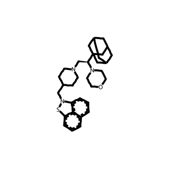 c1cc2c3c(cccc3c1)N(CC1CCN(C[C@H](N3CCOCC3)C34CC5CC(CC(C5)C3)C4)CC1)S2